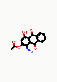 CC(O)Oc1cc(O)c2c(c1N)C(=O)c1ccccc1C2=O